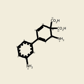 Nc1cccc(C2=CC(N)C(C(=O)O)(C(=O)O)C=C2)c1